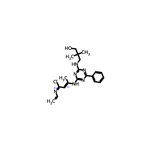 C=C/N=C(Cl)\C=C(/C)Nc1nc(NCC(C)(C)CO)nc(-c2ccccc2)n1